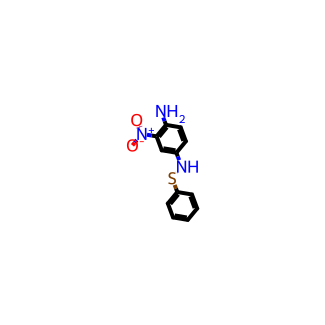 Nc1ccc(NSc2ccccc2)cc1[N+](=O)[O-]